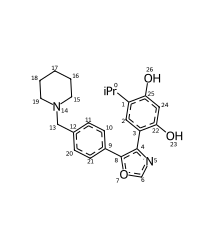 CC(C)c1cc(-c2ncoc2-c2ccc(CN3CCCCC3)cc2)c(O)cc1O